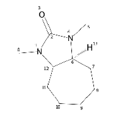 CN1C(=O)N(C)[C@H]2CCCCCC21